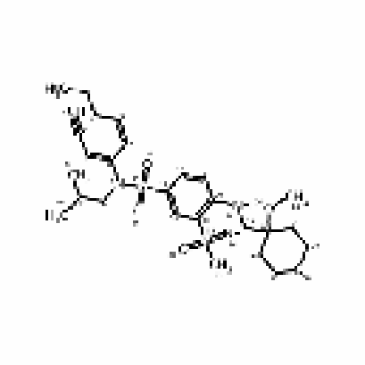 C#C/C=C(\C=C/CCC)N(CC(C)C)S(=O)(=O)c1ccc(NCC2(OC)CCOCC2)c(S(C)(=N)=O)c1